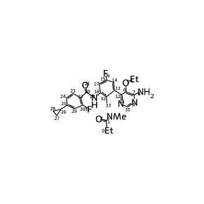 CCC(=O)NC.CCOc1c(N)ncnc1-c1cc(F)cc(NC(=O)c2ccc(C3CC3)cc2F)c1C